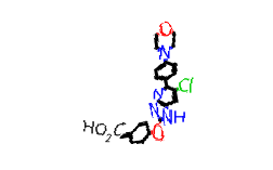 O=C(O)C=C1CCC(Oc2nc3nc(-c4ccc(N5CCOCC5)cc4)c(Cl)cc3[nH]2)CC1